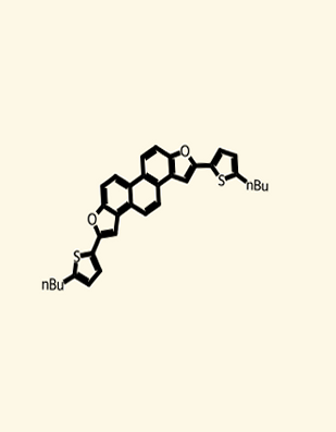 CCCCc1ccc(-c2cc3c(ccc4c3ccc3c5cc(-c6ccc(CCCC)s6)oc5ccc34)o2)s1